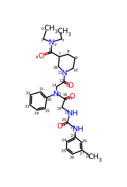 CCN(CC)C(=O)C1CCCN(C(=O)CN(C(=O)CNC(=O)Nc2cccc(C)c2)c2ccccc2)C1